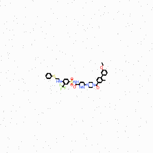 CCOc1cccc(-c2ccc(C(=O)N3CCN(c4ccc(C(=O)NS(=O)(=O)c5ccc(NCCSc6ccccc6)c(C(F)(F)F)c5)nn4)CC3)cc2C)c1